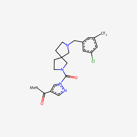 CNC(=O)c1cnn(C(=O)N2CCC3(CCN(Cc4cc(Cl)cc(C(F)(F)F)c4)C3)C2)c1